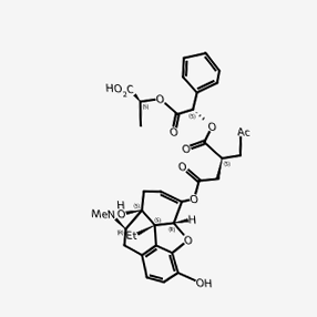 CC[C@]12c3c4ccc(O)c3O[C@H]1C(OC(=O)C[C@H](CC(C)=O)C(=O)O[C@H](C(=O)O[C@@H](C)C(=O)O)c1ccccc1)=CC[C@@]2(O)[C@H](NC)C4